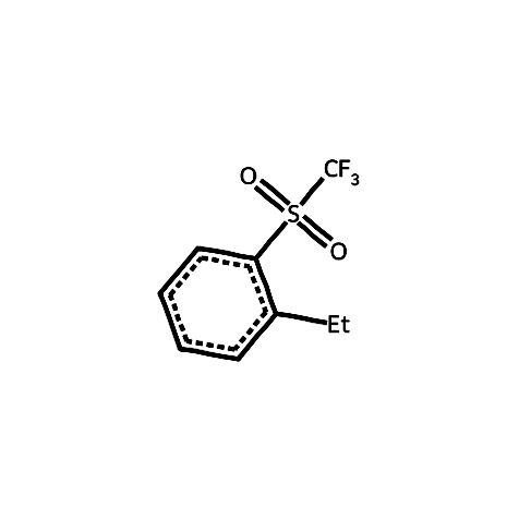 CCc1ccccc1S(=O)(=O)C(F)(F)F